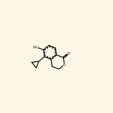 N#Cc1ccc2c(c1C1CC1)CCOC2=O